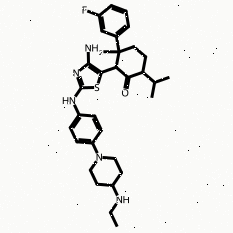 CCNC1CCN(c2ccc(Nc3nc(N)c(C4C(=O)C(C(C)C)CCC4(C)c4cccc(F)c4)s3)cc2)CC1